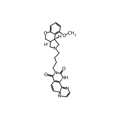 COc1cccc2c1[C@@H]1CN(CCCCn3c(=O)[nH]c4c(ccc5nccnc54)c3=O)C[C@H]1CO2